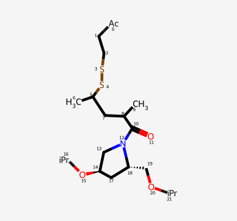 CC(=O)CCSSC(C)CC(C)C(=O)N1C[C@H](OC(C)C)C[C@H]1COC(C)C